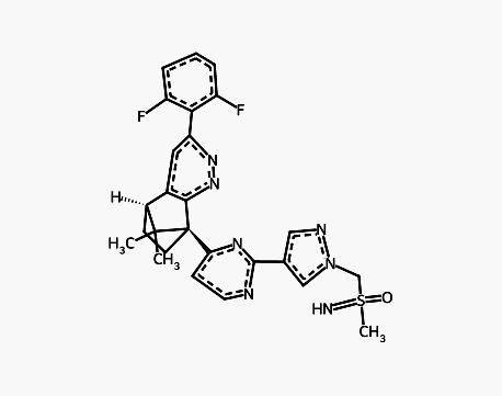 CC1(C)[C@H]2CC[C@@]1(c1ccnc(-c3cnn(CS(C)(=N)=O)c3)n1)c1nnc(-c3c(F)cccc3F)cc12